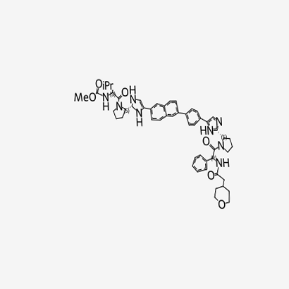 COC(=O)N[C@H](C(=O)N1CCC[C@H]1C1NC=C(c2ccc3cc(-c4ccc(-c5cnc([C@@H]6CCCN6C(=O)[C@H](NC(=O)CC6CCOCC6)c6ccccc6)[nH]5)cc4)ccc3c2)N1)C(C)C